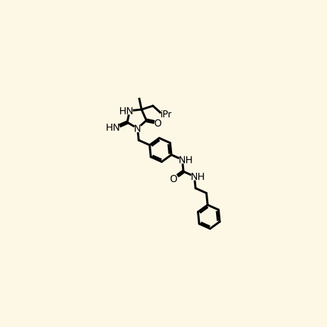 CC(C)CC1(C)NC(=N)N(Cc2ccc(NC(=O)NCCc3ccccc3)cc2)C1=O